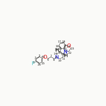 Fc1ccc(OCCCN2CC[C@@H]3[C@H](C2)c2cccc4c2N3CCO4)cc1